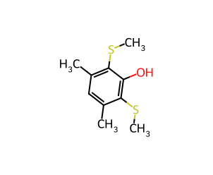 CSc1c(C)cc(C)c(SC)c1O